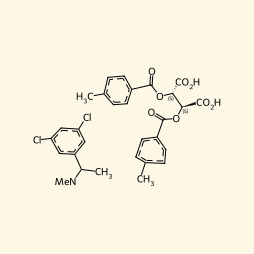 CNC(C)c1cc(Cl)cc(Cl)c1.Cc1ccc(C(=O)O[C@H](C(=O)O)[C@H](OC(=O)c2ccc(C)cc2)C(=O)O)cc1